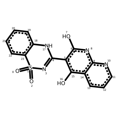 O=S1(=O)N=C(c2c(O)nc3ncccc3c2O)Nc2ccccc21